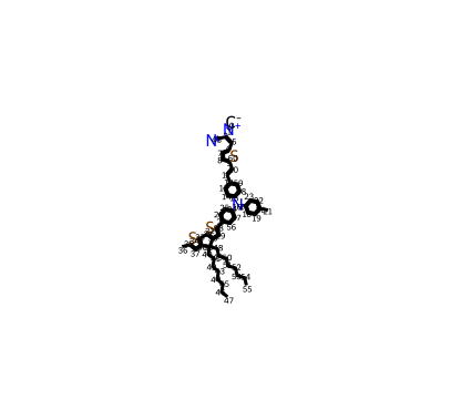 [C-]#[N+]/C(C#N)=C/c1ccc(/C=C/c2ccc(N(c3ccc(C)cc3)c3ccc(-c4cc5c(s4)-c4sc(C)cc4C5(CCCCCCCC)CCCCCCCC)cc3)cc2)s1